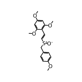 COc1ccc(C[S+]([O-])C=Cc2c(OC)cc(OC)cc2OC)cc1